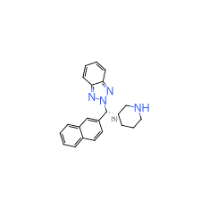 c1ccc2cc(C([C@H]3CCCNC3)n3nc4ccccc4n3)ccc2c1